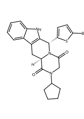 O=C1[C@H]2Cc3c([nH]c4ccccc34)[C@H](c3ccc(Br)s3)N2C(=O)CN1C1CCCC1